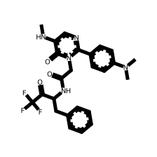 CNc1cnc(-c2ccc(N(C)C)cc2)n(CC(=O)NC(Cc2ccccc2)C(=O)C(F)(F)F)c1=O